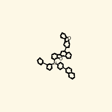 c1ccc(-c2cccc(N(c3ccc(-c4ccc5ccccc5c4)cc3)c3cccc4c3oc3c5ccccc5c(-c5ccc6oc7ccccc7c6c5)cc43)c2)cc1